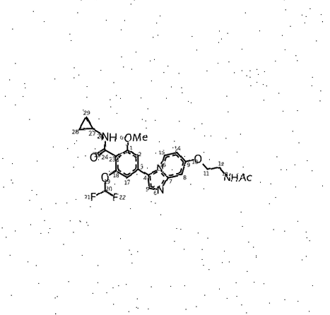 COc1cc(-c2cnc3cc(OCCNC(C)=O)ccn23)cc(OC(F)F)c1C(=O)NC1CC1